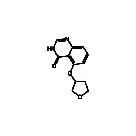 O=c1[nH]cnc2cccc(OC3CCOC3)c12